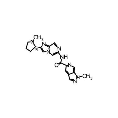 CN1CCC[C@@H]1c1cn2cc(NC(=O)c3cc4cnn(C)c4cn3)ncc2n1